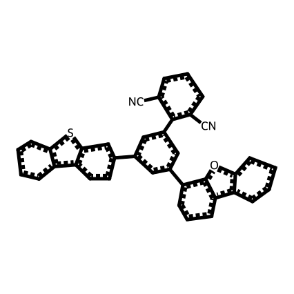 N#Cc1cccc(C#N)c1-c1cc(-c2ccc3c(c2)sc2ccccc23)cc(-c2cccc3c2oc2ccccc23)c1